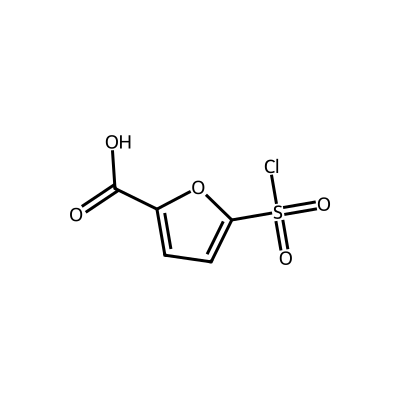 O=C(O)c1ccc(S(=O)(=O)Cl)o1